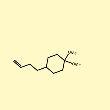 C=CCCC1CCC(OC)(OC)CC1